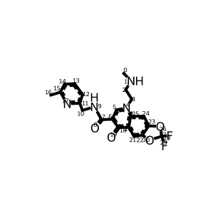 CNCCn1cc(C(=O)NCc2cccc(C)n2)c(=O)c2cc3c(cc21)OC(F)(F)O3